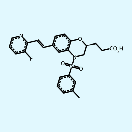 Cc1cccc(S(=O)(=O)N2C[C@H](CCC(=O)O)Oc3ccc(/C=C/c4ncccc4F)cc32)c1